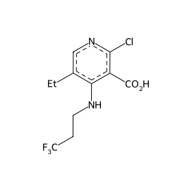 CCc1cnc(Cl)c(C(=O)O)c1NCCC(F)(F)F